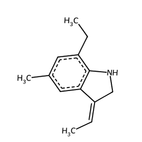 C/C=C1/CNc2c(CC)cc(C)cc21